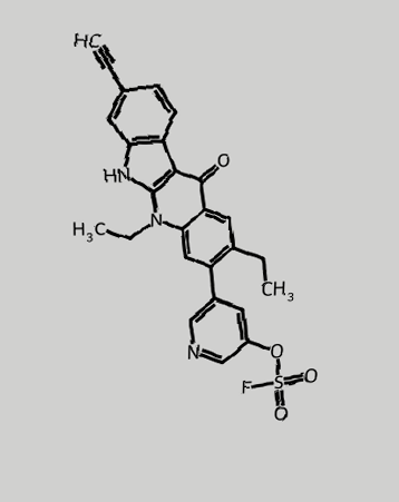 C#Cc1ccc2c(c1)[nH]c1c2c(=O)c2cc(CC)c(-c3cncc(OS(=O)(=O)F)c3)cc2n1CC